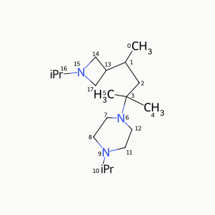 CC(CC(C)(C)N1CCN(C(C)C)CC1)C1CN(C(C)C)C1